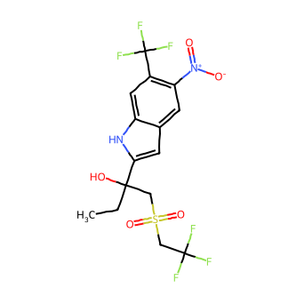 CCC(O)(CS(=O)(=O)CC(F)(F)F)c1cc2cc([N+](=O)[O-])c(C(F)(F)F)cc2[nH]1